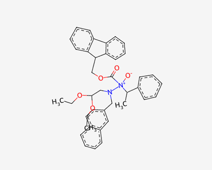 CCOC(CN(Cc1ccc2ccccc2c1)[N+]([O-])(C(=O)OCC1c2ccccc2-c2ccccc21)C(C)c1ccccc1)OCC